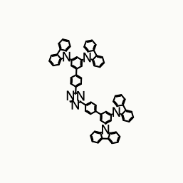 c1ccc2c(c1)c1ccccc1n2-c1cc(-c2ccc(-c3ncnc(-c4ccc(-c5cc(-n6c7ccccc7c7ccccc76)cc(-n6c7ccccc7c7ccccc76)c5)cc4)n3)cc2)cc(-n2c3ccccc3c3ccccc32)c1